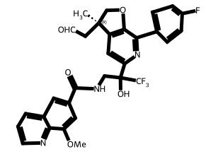 COc1cc(C(=O)NCC(O)(c2cc3c(c(-c4ccc(F)cc4)n2)OC[C@]3(C)CC=O)C(F)(F)F)cc2cccnc12